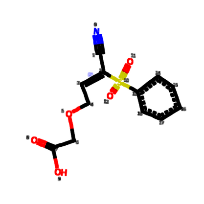 N#C/C(=C/COCC(=O)O)S(=O)(=O)c1ccccc1